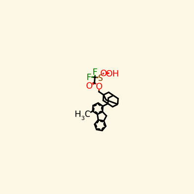 Cc1ccc(C23CC4CC(CC(COC(=O)C(F)(F)SOO)(C4)C2)C3)c2c1-c1ccccc1C2